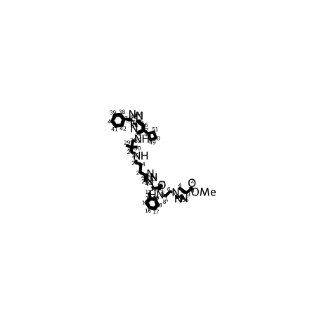 COC(=O)c1cn(C[C@H](C)NC(=O)[C@H](Cc2ccccc2)n2cc(CCCNCC(C)(C)CNc3nn4c(-c5ccccc5)nnc4cc3C3CCC3)nn2)nn1